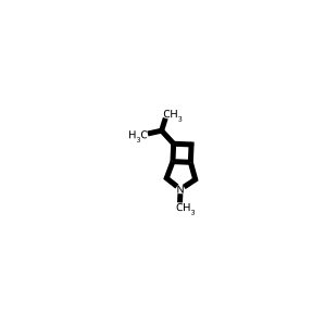 CC(C)C1CC2CN(C)CC21